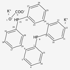 O=C([O-])[O-].[K+].[K+].c1ccc(Pc2ccccc2)cc1.c1ccc(Pc2ccccc2)cc1